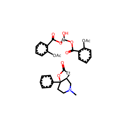 CC(=O)Oc1ccccc1C(=O)[O][Al]([OH])[O]C(=O)c1ccccc1OC(C)=O.CCC(=O)O[C@]1(c2ccccc2)CCN(C)C[C@@H]1C